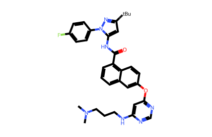 CN(C)CCCNc1cc(Oc2ccc3c(C(=O)Nc4cc(C(C)(C)C)nn4-c4ccc(F)cc4)cccc3c2)ncn1